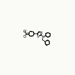 O=[N+]([O-])c1ccc(-c2cnc(N(Cc3ccccc3)c3ccccc3)s2)cc1